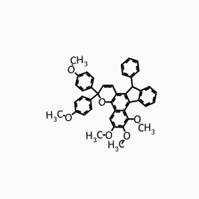 COc1ccc(C2(c3ccc(OC)cc3)C=Cc3c4c(c5c(OC)c(OC)c(OC)cc5c3O2)-c2ccccc2C4c2ccccc2)cc1